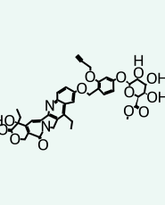 C#CCOc1cc(O[C@@H]2O[C@H](C(=O)OC)[C@@H](O)[C@H](O)[C@H]2O)ccc1COc1ccc2nc3c(c(CC)c2c1)Cn1c-3cc2c(c1=O)COC(=O)[C@]2(O)CC